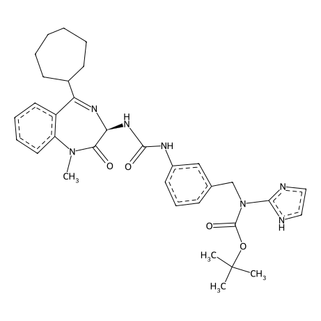 CN1C(=O)[C@H](NC(=O)Nc2cccc(CN(C(=O)OC(C)(C)C)c3ncc[nH]3)c2)N=C(C2CCCCCC2)c2ccccc21